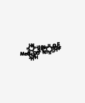 [2H]C([2H])([2H])Oc1c(OC)ccnc1C[S+]([O-])c1nc2ccc(OC([2H])(F)F)cc2[nH]1